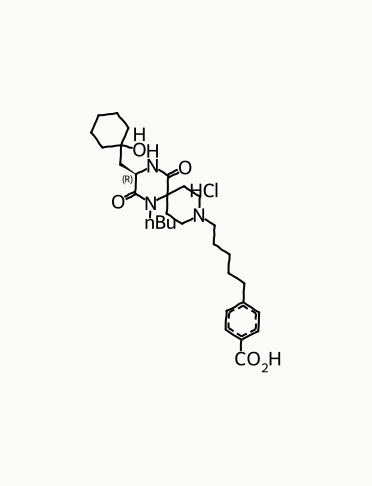 CCCCN1C(=O)[C@@H](CC2(O)CCCCC2)NC(=O)C12CCN(CCCCCc1ccc(C(=O)O)cc1)CC2.Cl